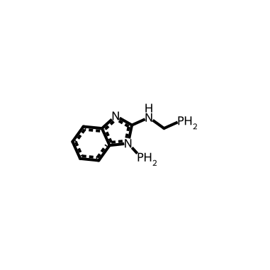 PCNc1nc2ccccc2n1P